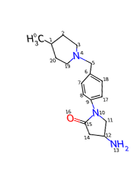 CC1CCN(Cc2ccc(N3CC(N)CC3=O)cc2)CC1